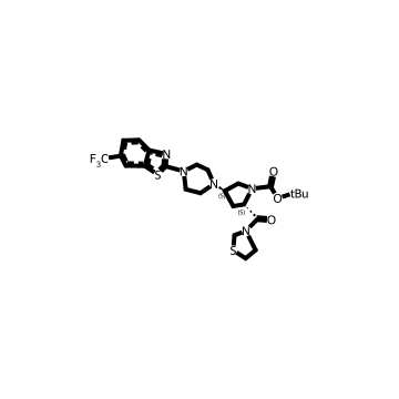 CC(C)(C)OC(=O)N1C[C@@H](N2CCN(c3nc4ccc(C(F)(F)F)cc4s3)CC2)C[C@H]1C(=O)N1CCSC1